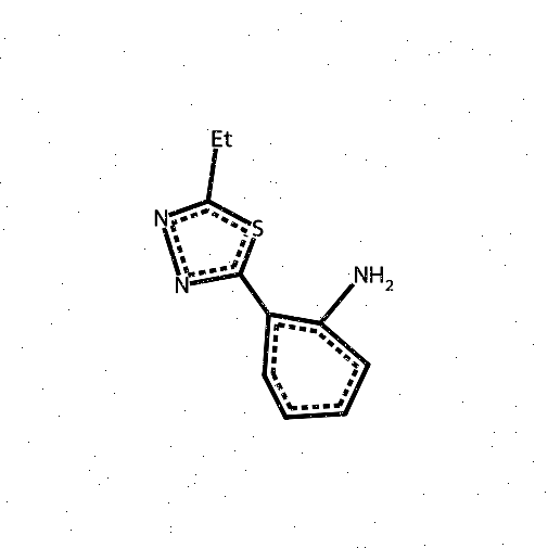 CCc1nnc(-c2ccccc2N)s1